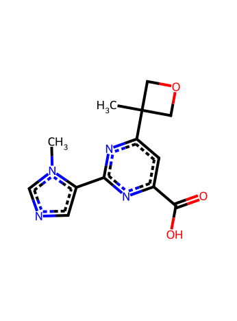 Cn1cncc1-c1nc(C(=O)O)cc(C2(C)COC2)n1